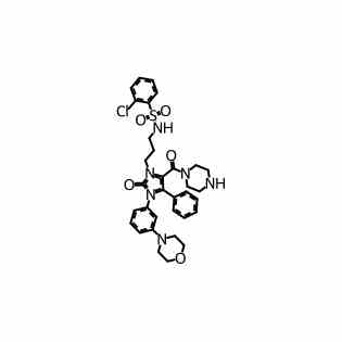 O=C(c1c(-c2ccccc2)n(-c2cccc(N3CCOCC3)c2)c(=O)n1CCCNS(=O)(=O)c1ccccc1Cl)N1CCNCC1